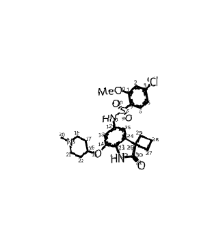 COc1cc(Cl)ccc1S(=O)(=O)Nc1cc(OC2CCN(C)CC2)c2c(c1)C1(CCC1)C(=O)N2